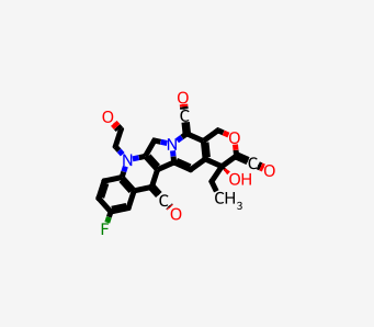 CC[C@@]1(O)C(=C=O)OCC2=C1C=C1C3=C(CN1C2=C=O)N(CC=O)c1ccc(F)cc1C3=C=O